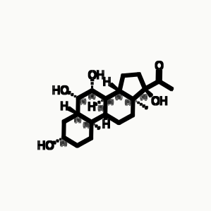 CC(=O)[C@@]1(O)CC[C@H]2[C@@H]3[C@@H](O)[C@@H](O)[C@H]4C[C@@H](O)CC[C@]4(C)[C@H]3CC[C@@]21C